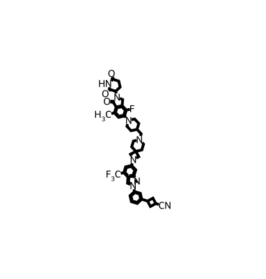 Cc1cc(N2CCC(CN3CCC4(CC3)CN(c3cc(C(F)(F)F)c5cn(-c6cccc(C7CC(C#N)C7)c6)nc5c3)C4)CC2)c(F)c2c1C(=O)N(C1CCC(=O)NC1=O)C2